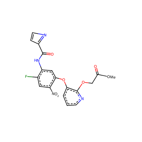 COC(=O)COc1ncccc1Oc1cc(NC(=O)C2=NC=C2)c(F)cc1[N+](=O)[O-]